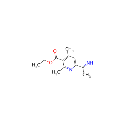 CCOC(=O)c1c(C)cc(C(C)=N)nc1C